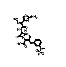 CON=C(C(=O)N[C@@H]1C(=O)N2C(C(=O)O)=C(Cc3cccc(N(C)S(C)(=O)=O)c3)CS[C@H]12)c1csc(N)n1